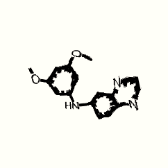 COc1cc(Nc2ccc3nccnc3c2)cc(OC)c1